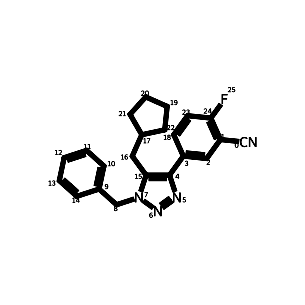 N#Cc1cc(-c2nnn(Cc3ccccc3)c2CC2CCCC2)ccc1F